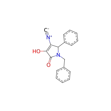 [C-]#[N+]C1=C(O)C(=O)N(Cc2ccccc2)C1c1ccccc1